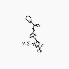 Cn1nc(C(F)(F)F)cc1-c1ccc(C=CC(=O)N2CCCCC2)s1